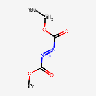 CCCC[SiH2]OC(=O)/N=N/C(=O)OC(C)C